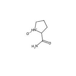 NC(=O)C1CCC[NH+]1[O-]